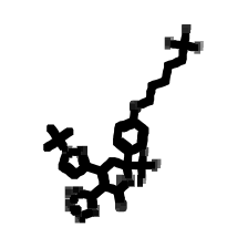 CC(C)(C)n1ccc(C2=C(c3nnn[nH]3)C(=O)NC(c3ccc(OCCCCCC(F)(F)F)cc3)(C(F)(F)F)C2)n1